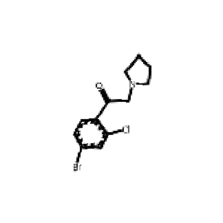 O=C(CN1CCCC1)c1ccc(Br)cc1Cl